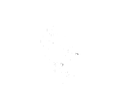 [2H]C([2H])([2H])OC(=C1C2CC3CC1CC(OCOC14CC5CC(C1)C(=C(OC([2H])([2H])[2H])c1ccc(Cl)c(OP(=O)(O)O)c1)C(C5)C4)(C3)C2)c1ccc(Cl)c(O[PH](=O)O)c1